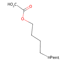 CCCCCCCCCOC(=O)C(=O)O